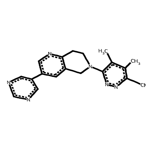 Cc1c(C#N)nnc(N2CCc3ncc(-c4cncnc4)cc3C2)c1C